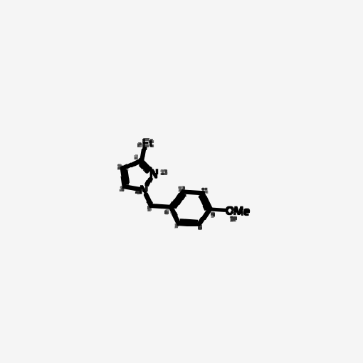 [CH2]Cc1ccn(Cc2ccc(OC)cc2)n1